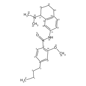 CCCCc1ccc(C(=O)Nc2ccc3c(c2)C(N(C)C)CCC3)c(OC)c1